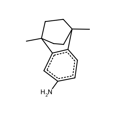 CC12CCC(C)(CC1)c1cc(N)ccc12